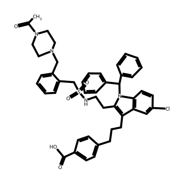 CC(=O)N1CCN(Cc2ccccc2CS(=O)(=O)NCCc2c(CCCc3ccc(C(=O)O)cc3)c3cc(Cl)ccc3n2C(c2ccccc2)c2ccccc2)CC1